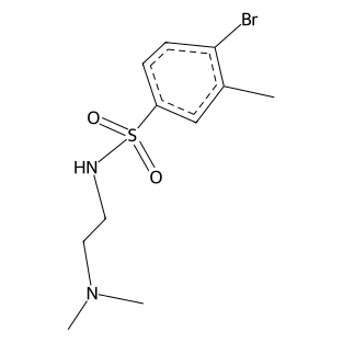 Cc1cc(S(=O)(=O)NCCN(C)C)ccc1Br